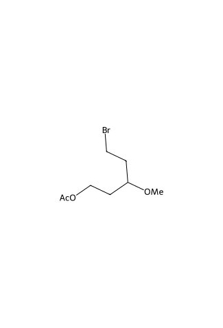 COC(CCBr)CCOC(C)=O